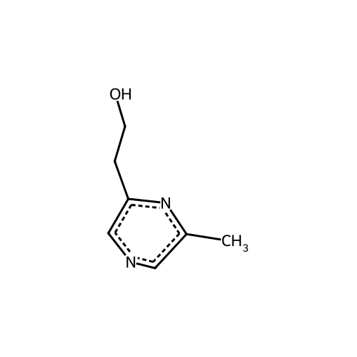 Cc1cncc(CCO)n1